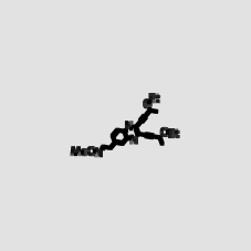 CCOC(C)C#Cc1nc2ccc(CC=NOC)cc2nc1C#CC(C)OCC